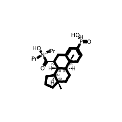 CC(C)[N+](O)(C(=O)[C@H]1CC2=CC([PH](=O)O)=CC[C@]2(C)[C@H]2CC[C@]3(C)CCC[C@H]3[C@H]12)C(C)C